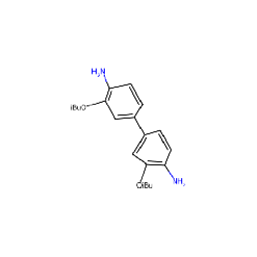 CC(C)COc1cc(-c2ccc(N)c(OCC(C)C)c2)ccc1N